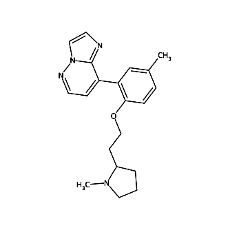 Cc1ccc(OCCC2CCCN2C)c(-c2ccnn3ccnc23)c1